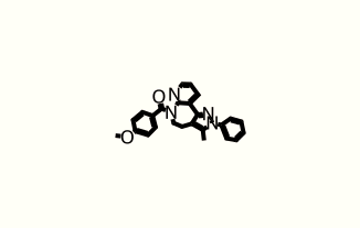 COc1ccc(C(=O)N2CCc3c(nn(-c4ccccc4)c3C)-c3cccnc32)cc1